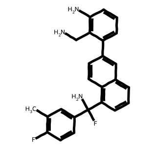 Cc1cc(C(N)(F)c2cccc3cc(-c4cccc(N)c4CN)ccc23)ccc1F